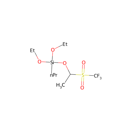 CCC[Si](OCC)(OCC)OC(C)S(=O)(=O)C(F)(F)F